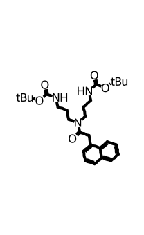 CC(C)(C)OC(=O)NCCCN(CCCNC(=O)OC(C)(C)C)C(=O)Cc1cccc2ccccc12